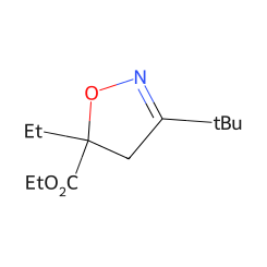 CCOC(=O)C1(CC)CC(C(C)(C)C)=NO1